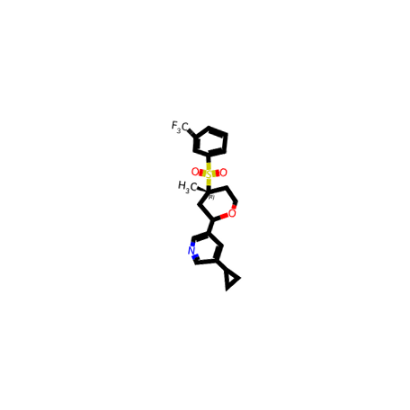 C[C@@]1(S(=O)(=O)c2cccc(C(F)(F)F)c2)CCOC(c2cncc(C3CC3)c2)C1